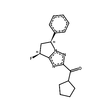 O=C(c1nc2n(n1)[C@H](c1ccccc1)C[C@@H]2F)C1CCCC1